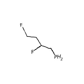 FCCC(F)CP